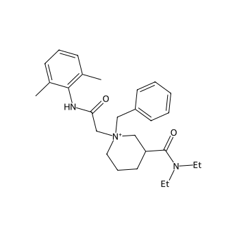 CCN(CC)C(=O)C1CCC[N+](CC(=O)Nc2c(C)cccc2C)(Cc2ccccc2)C1